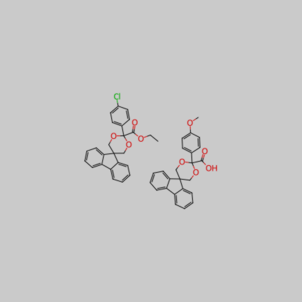 CCOC(=O)C1(c2ccc(Cl)cc2)OCC2(CO1)c1ccccc1-c1ccccc12.COc1ccc(C2(C(=O)O)OCC3(CO2)c2ccccc2-c2ccccc23)cc1